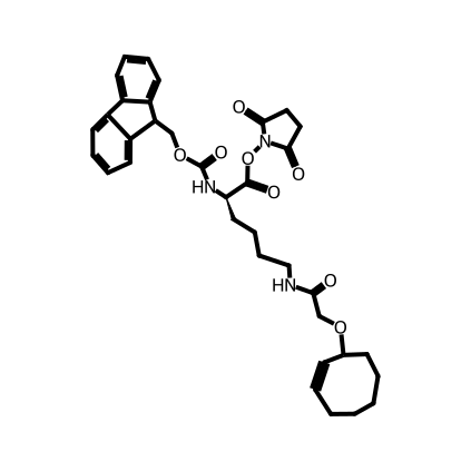 O=C(COC1C#CCCCCC1)NCCCC[C@@H](NC(=O)OCC1c2ccccc2-c2ccccc21)C(=O)ON1C(=O)CCC1=O